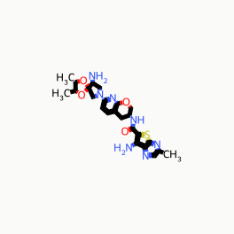 Cc1cnc2c(N)c(C(=O)NC3COc4nc(N5CC(N)C6(C5)OC(C)C(C)O6)ccc4C3)sc2n1